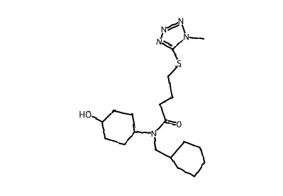 Cn1nnnc1SCCCC(=O)N(CC1CCCCC1)C1CCC(O)CC1